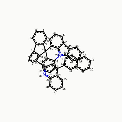 c1ccc2c(c1)-c1cccc(-c3cc(-c4ccc5ccccc5c4)c4ccccc4n3)c1C21c2ccccc2-n2c3ccccc3c3cccc1c32